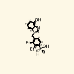 CCc1c(Cn2cnc3c(O)cccc32)ccc(P(=O)(O)O)c1CC